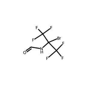 O=[C]NC(Br)(C(F)(F)F)C(F)(F)F